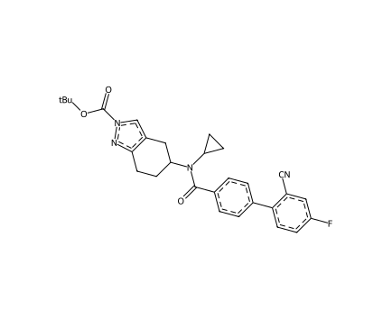 CC(C)(C)OC(=O)n1cc2c(n1)CCC(N(C(=O)c1ccc(-c3ccc(F)cc3C#N)cc1)C1CC1)C2